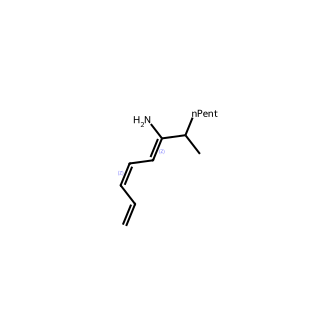 C=C/C=C\C=C(/N)C(C)CCCCC